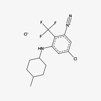 CC1CCC(Nc2cc(Cl)cc([N+]#N)c2C(F)(F)F)CC1.[Cl-]